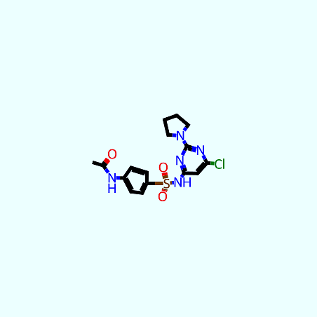 CC(=O)Nc1ccc(S(=O)(=O)Nc2cc(Cl)nc(N3CCCC3)n2)cc1